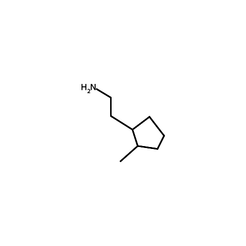 CC1CCCC1CCN